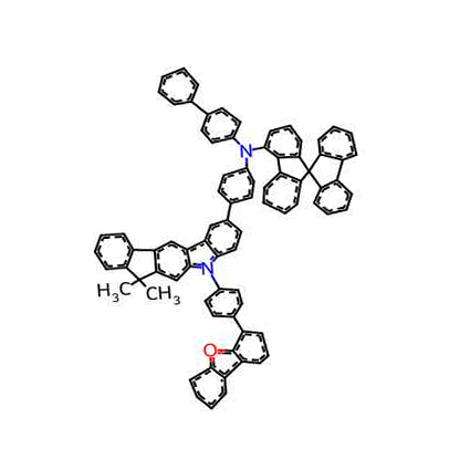 CC1(C)c2ccccc2-c2cc3c4cc(-c5ccc(N(c6ccc(-c7ccccc7)cc6)c6cccc7c6-c6ccccc6C76c7ccccc7-c7ccccc76)cc5)ccc4n(-c4ccc(-c5cccc6c5oc5ccccc56)cc4)c3cc21